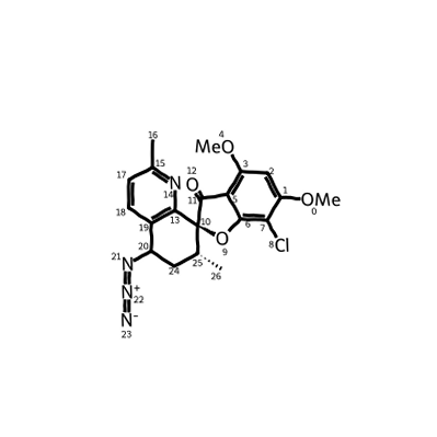 COc1cc(OC)c2c(c1Cl)O[C@]1(C2=O)c2nc(C)ccc2C(N=[N+]=[N-])C[C@H]1C